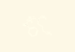 CCCCN(C)C.CNc1ccccc1